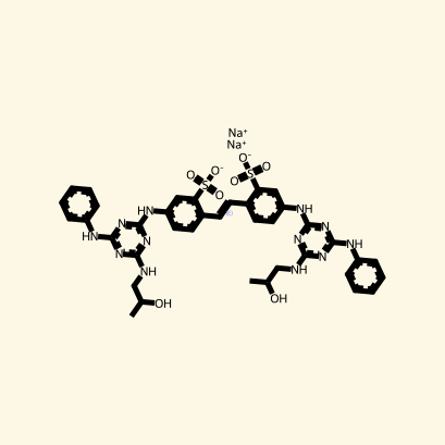 CC(O)CNc1nc(Nc2ccccc2)nc(Nc2ccc(/C=C/c3ccc(Nc4nc(NCC(C)O)nc(Nc5ccccc5)n4)cc3S(=O)(=O)[O-])c(S(=O)(=O)[O-])c2)n1.[Na+].[Na+]